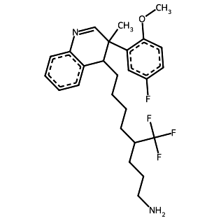 COc1ccc(F)cc1C1(C)C=Nc2ccccc2C1CCCCC(CCCN)C(F)(F)F